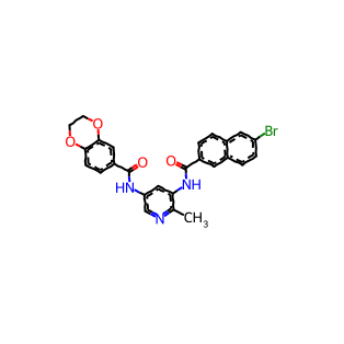 Cc1ncc(NC(=O)c2ccc3c(c2)OCCO3)cc1NC(=O)c1ccc2cc(Br)ccc2c1